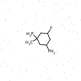 CC1(P)CC(F)CC(P)C1